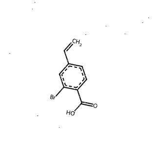 C=Cc1ccc(C(=O)O)c(Br)c1